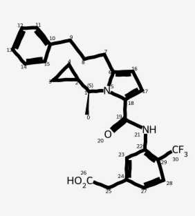 C[C@@H](C1CC1)n1c(CCCc2ccccc2)ccc1C(=O)Nc1cc(CC(=O)O)ccc1C(F)(F)F